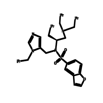 CC(C)C[C@@H](CN(CC(C)C)CC(C)C)N(Cc1cncn1CC(C)C)S(=O)(=O)c1ccc2occc2c1